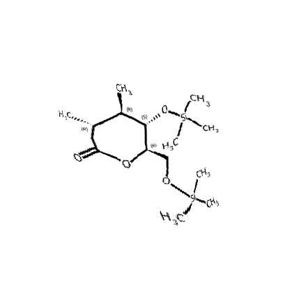 C[C@H]1[C@H](O[Si](C)(C)C)[C@@H](CO[Si](C)(C)C)OC(=O)[C@@H]1C